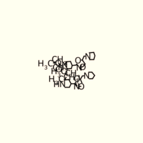 CC(C)(C)OC(=O)N1CCC(C2=NOCC(CN3CCCCC3)O2)CC1(C)C.CC1(C)CC(C2=NOCC(CN3CCCCC3)O2)CCN1